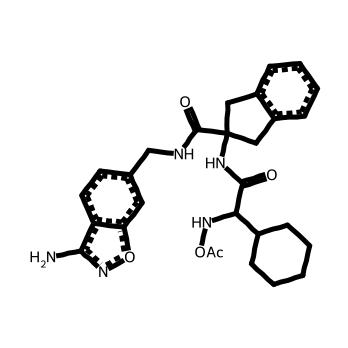 CC(=O)ONC(C(=O)NC1(C(=O)NCc2ccc3c(N)noc3c2)Cc2ccccc2C1)C1CCCCC1